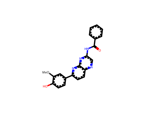 COc1cc(-c2ccc3ncc(NC(=O)c4ccccc4)nc3n2)ccc1O